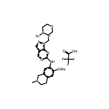 COc1cc2c(cc1Nc1ncc3cnn(C[C@@H]4COCCN4C(C)=O)c3n1)CN(C)CC2.O=C(O)C(F)(F)F